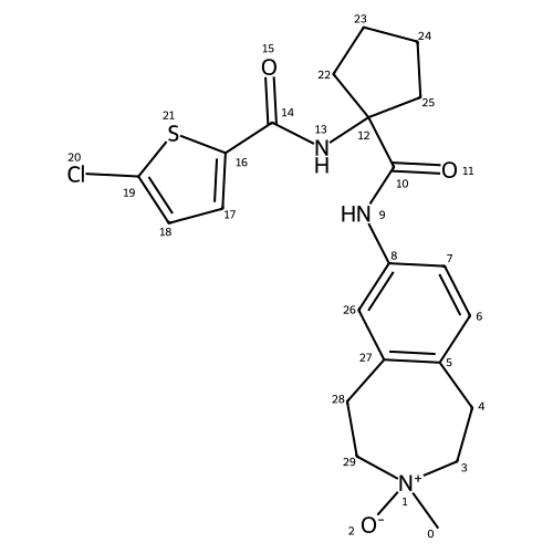 C[N+]1([O-])CCc2ccc(NC(=O)C3(NC(=O)c4ccc(Cl)s4)CCCC3)cc2CC1